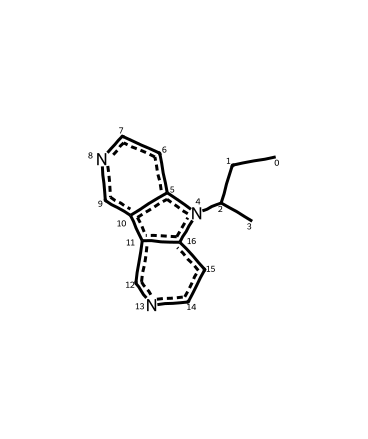 CCC(C)n1c2ccncc2c2cnccc21